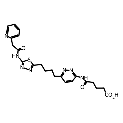 O=C(O)CCCC(=O)Nc1ccc(CCCCc2nnc(NC(=O)Cc3ccccn3)s2)nn1